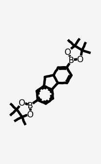 CC1(C)OB(C2=CC3Cc4cc(B5OC(C)(C)C(C)(C)O5)ccc4C3C=C2)OC1(C)C